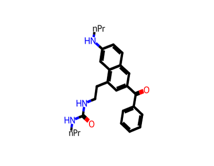 CCCNC(=O)NCCc1cc(C(=O)c2ccccc2)cc2ccc(NCCC)cc12